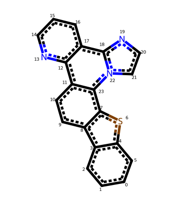 c1ccc2c(c1)sc1c2ccc2c3ncccc3c3nccn3c21